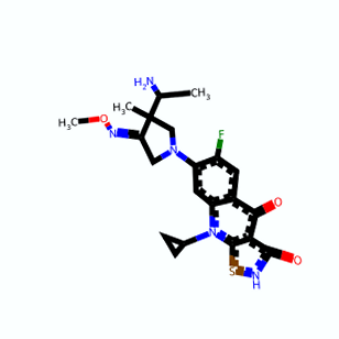 CO/N=C1/CN(c2cc3c(cc2F)c(=O)c2c(=O)[nH]sc2n3C2CC2)CC1(C)C(C)N